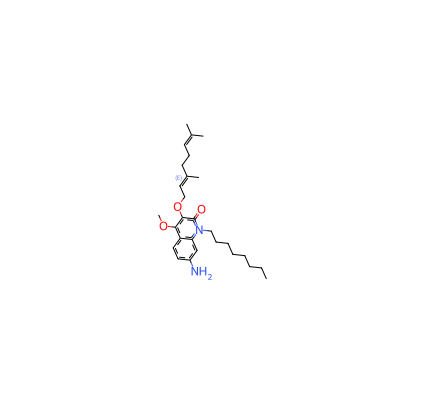 CCCCCCCCn1c(=O)c(OC/C=C(\C)CCC=C(C)C)c(OC)c2ccc(N)cc21